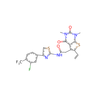 C=Cc1sc2c(c1CC(=O)Nc1nc(-c3ccc(C(F)(F)F)c(F)c3)cs1)c(=O)n(C)c(=O)n2C